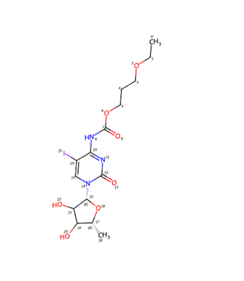 CCOCCCOC(=O)Nc1nc(=O)n([C@@H]2O[C@H](C)C(O)C2O)cc1I